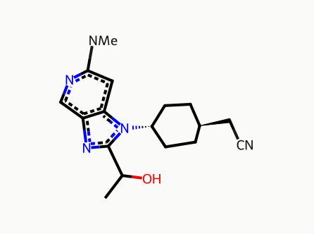 CNc1cc2c(cn1)nc(C(C)O)n2[C@H]1CC[C@H](CC#N)CC1